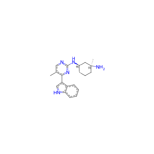 Cc1cnc(N[C@@H]2CCC[C@](C)(N)C2)nc1-c1c[nH]c2ccccc12